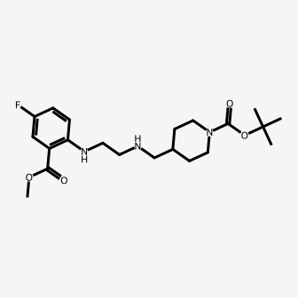 COC(=O)c1cc(F)ccc1NCCNCC1CCN(C(=O)OC(C)(C)C)CC1